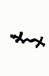 CS(=O)(=O)OCC=CC(F)(F)F